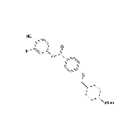 CCCCCCCCCC1CCC(COc2ccc(C(=O)Oc3ccc(C#N)c(F)c3)cc2)CC1